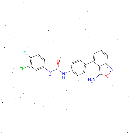 Nc1onc2cccc(-c3ccc(NC(=O)Nc4ccc(F)c(Cl)c4)cc3)c12